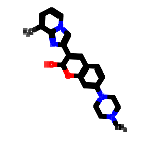 CN1CCN(c2ccc3c(c2)OC(O)C(c2cn4cccc(C(F)(F)F)c4n2)=C3)CC1